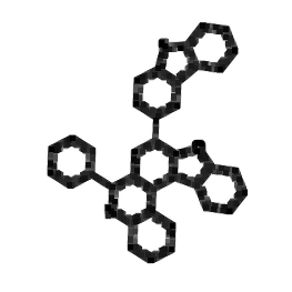 c1ccc(-c2nc3ccccc3c3c2cc(-c2ccc4sc5ccccc5c4c2)c2oc4ccccc4c23)cc1